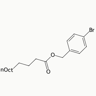 CCCCCCCCCCCC(=O)OCc1ccc(Br)cc1